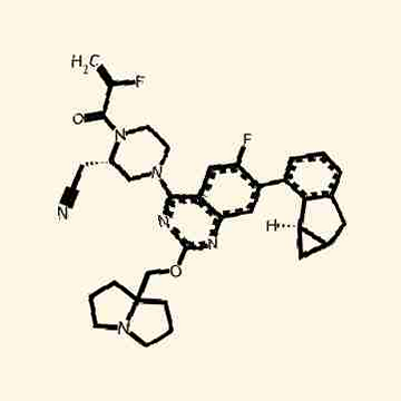 C=C(F)C(=O)N1CCN(c2nc(OCC34CCCN3CCC4)nc3cc(-c4cccc5c4[C@@H]4CC4C5)c(F)cc23)C[C@@H]1CC#N